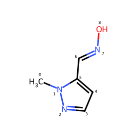 Cn1nccc1C=NO